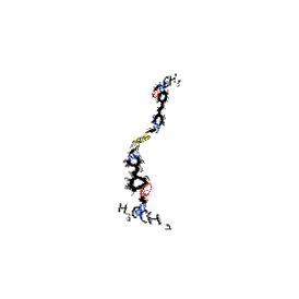 CN(C)CCOC1CCCC(CCC2CC=[N+](CCSSCC[N+]3=CCC(CCC4CCC5C(C4)OCCN5C)CC3)CC2)C1